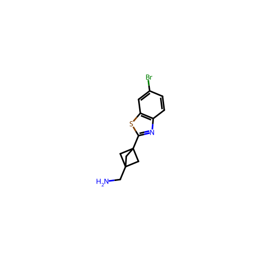 NCC12CC(c3nc4ccc(Br)cc4s3)(C1)C2